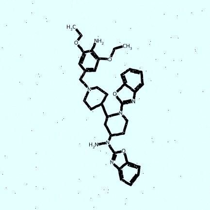 CCOc1cc(CN2CCC(C3CC(N(N)c4nc5ccccc5o4)CCN3c3nc4ccccc4o3)CC2)cc(OCC)c1N